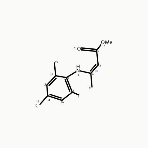 COC(=O)/C=C(/C)Nc1c(C)cc(Cl)cc1C